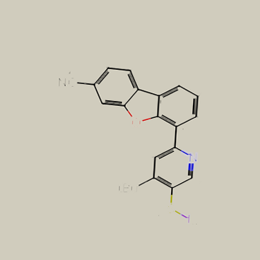 CC(C)(C)c1cc(-c2cccc3c2oc2cc(C#N)ccc23)ncc1SI